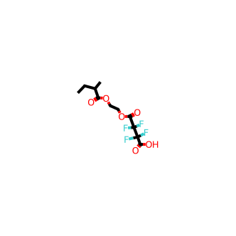 CCC(C)C(=O)OCCOC(=O)C(F)(F)C(F)(F)C(=O)O